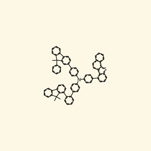 CC1(C)c2ccccc2-c2cccc(-c3ccccc3-c3ccc(N(c4ccc(-c5ccc6c(c5)C(C)(c5ccccc5)c5ccccc5-6)cc4)c4ccc(-c5cccc6sc7c8ccccc8ccc7c56)cc4)cc3)c21